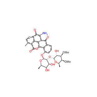 CO[C@@H]1[C@@H](O)[C@@H](O[C@H]2[C@H](Oc3cccc4c(=O)c5c(N)c(=O)c6ccc(C)c7c(=O)oc(c-5c67)c34)O[C@H](C)[C@H](O)[C@@H]2O)O[C@H](C)[C@@H]1OC